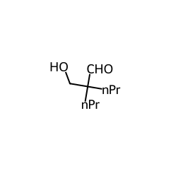 CCCC(C=O)(CO)CCC